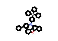 c1ccc(-c2ccc(N(c3ccc([Si](c4ccccc4)(c4ccccc4)c4ccccc4)cc3)c3cc4ccccc4c4oc5ccccc5c34)cc2)cc1